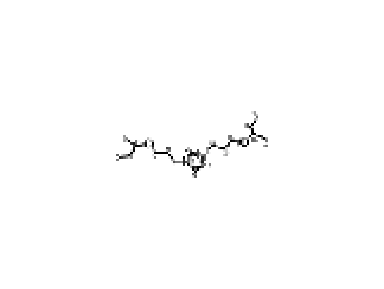 CCC(C)OCCCn1cc[n+](CCCOC(C)CC)c1